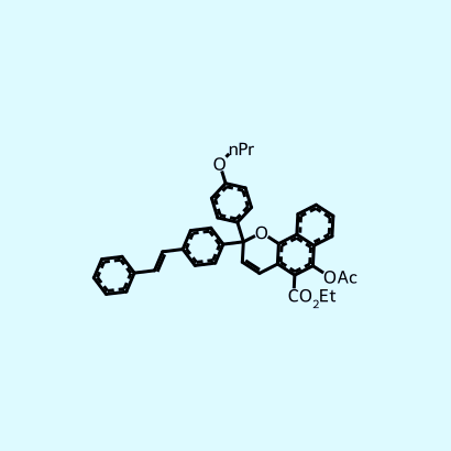 CCCOc1ccc(C2(c3ccc(/C=C/c4ccccc4)cc3)C=Cc3c(C(=O)OCC)c(OC(C)=O)c4ccccc4c3O2)cc1